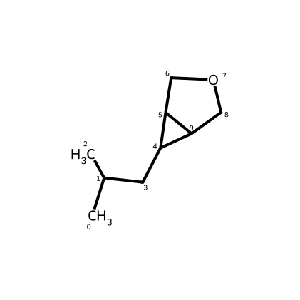 CC(C)CC1C2COCC21